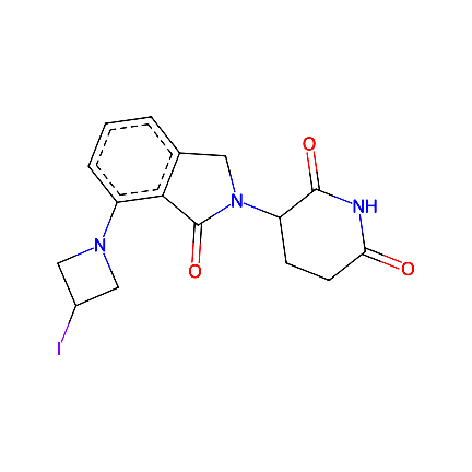 O=C1CCC(N2Cc3cccc(N4CC(I)C4)c3C2=O)C(=O)N1